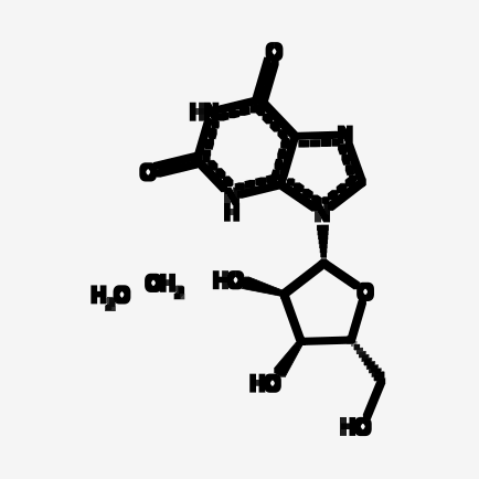 O.O.O=c1[nH]c(=O)c2ncn([C@@H]3O[C@H](CO)[C@@H](O)[C@H]3O)c2[nH]1